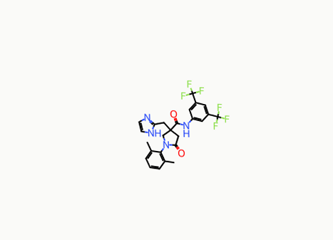 Cc1cccc(C)c1N1CC(Cc2ncc[nH]2)(C(=O)Nc2cc(C(F)(F)F)cc(C(F)(F)F)c2)CC1=O